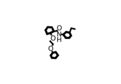 CCc1cccc(NC(=O)c2ccccc2OCCOc2ccccc2)c1